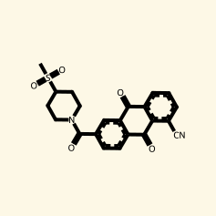 CS(=O)(=O)C1CCN(C(=O)c2ccc3c(c2)C(=O)c2cccc(C#N)c2C3=O)CC1